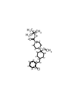 COC1(N2CCN(C(=O)OC(C)(C)C)CC2)CCC(Cc2ccccc2Cl)CC1